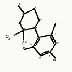 CC(=O)C1(C(=O)O)CC(C)CCC1c1c(C)cc(C)cc1C